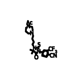 CC(=O)N1CCCN(CCCCN2C(=S)N(c3ccc(C#N)c(C(F)(F)F)c3)C(=O)C2(C)C)CC1